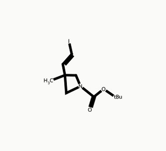 CC1(C=CI)CN(C(=O)OC(C)(C)C)C1